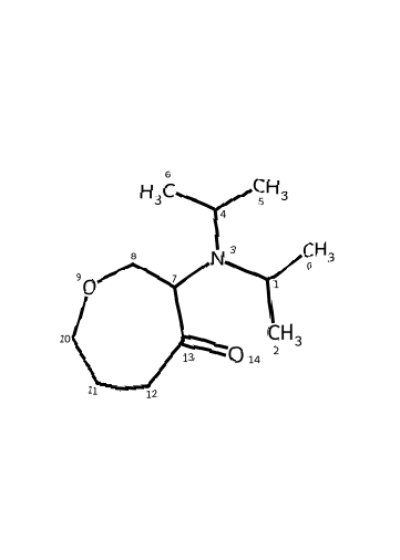 CC(C)N(C(C)C)C1COCCCC1=O